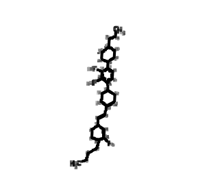 CCCCC1CCC(/C=C/C2CCC(c3ccc(C4CCC(CCC)CC4)c(F)c3F)CC2)C=C1F